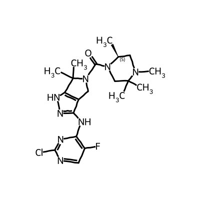 C[C@H]1CN(C)C(C)(C)CN1C(=O)N1Cc2c(Nc3nc(Cl)ncc3F)n[nH]c2C1(C)C